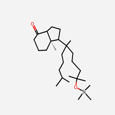 CC(C)CCCC(C)(CCCC(C)(C)O[Si](C)(C)C)C1CCC2C(=O)CCC[C@@]21C